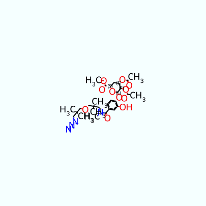 COC(=O)[C@@H]1C[C@H](OC(C)=O)[C@@H](OC(C)=O)[C@H](Oc2ccc(C(=O)N(C)CC(C)(C)COCC(C)(C)CN=[N+]=[N-])cc2O)O1